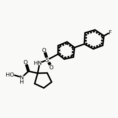 O=C(NO)C1(NS(=O)(=O)c2ccc(-c3ccc(F)cc3)cc2)CCCC1